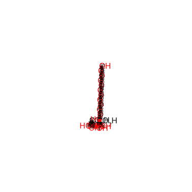 O=C(O)c1cc(O)c(O)c(O)c1.O=C(O)c1cc(O)c(O)c(O)c1.OCCOCCOCCOCCOCCOCCOCCOCCOCCOCCOCCO